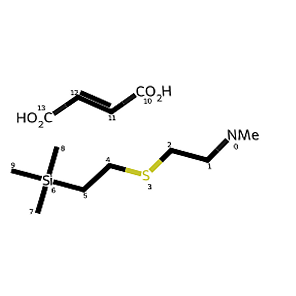 CNCCSCC[Si](C)(C)C.O=C(O)C=CC(=O)O